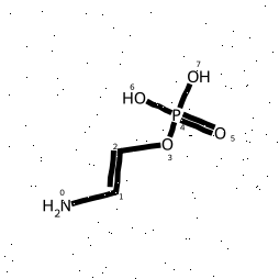 NC=COP(=O)(O)O